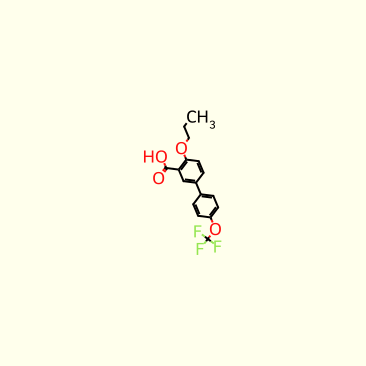 CCCOc1ccc(-c2ccc(OC(F)(F)F)cc2)cc1C(=O)O